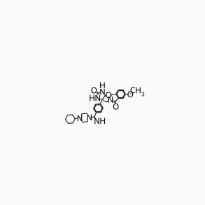 COc1ccc2c(c1)C(=O)N(C[C@@]1(c3ccc(C(=N)N4CCN(C5CCCCC5)CC4)cc3)NC(=O)NC1=O)C2